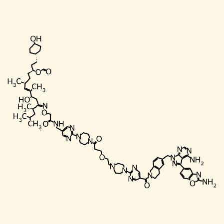 C/C(=C\[C@@H](C)CC[C@@H](CC[C@H]1CC[C@H](O)CC1)OC=O)[C@@H](O)C/C(=N/OCC(=O)NCc1cnc(N2CCN(C(=O)CCOCCN3CCN(c4ncc(C(=O)N5CCc6cc(Cn7nc(-c8ccc9oc(N)nc9c8)c8c(N)ncnc87)ccc6C5)cn4)CC3)CC2)nc1)[C@H](C)CC(C)C